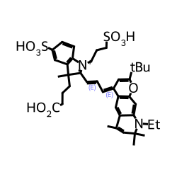 CCN1c2cc3c(cc2C(C)=CC1(C)C)/C(=C/C=C/C1=[N+](CCCS(=O)(=O)O)c2ccc(S(=O)(=O)O)cc2C1(C)CCCC(=O)O)C=C(C(C)(C)C)O3